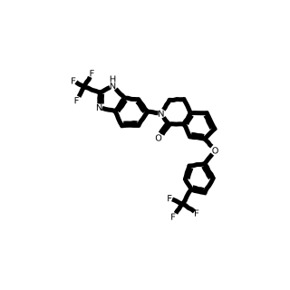 O=C1c2cc(Oc3ccc(C(F)(F)F)cc3)ccc2CCN1c1ccc2nc(C(F)(F)F)[nH]c2c1